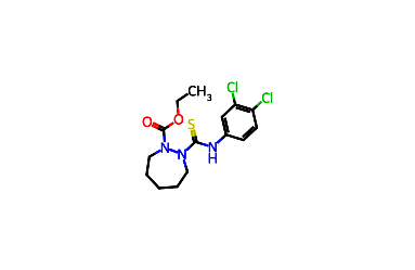 CCOC(=O)N1CCCCCN1C(=S)Nc1ccc(Cl)c(Cl)c1